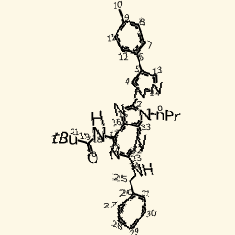 CCCn1c(-n2cc(-c3ccc(C)cc3)cn2)nc2c(NC(=O)C(C)(C)C)nc(NCc3ccccc3)nc21